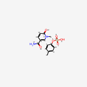 Cc1ccc(OS(=O)(=O)O)cc1.Cn1cc(C(N)=O)ccc1=O